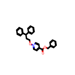 O=C(OCc1ccccc1)c1cc[n+](OCCC(c2ccccc2)c2ccccc2)cc1